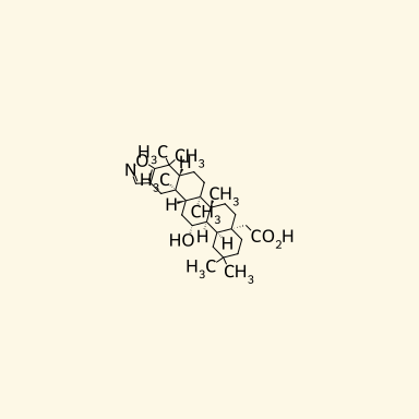 CC1(C)CC[C@]2(CC(=O)O)CC[C@]3(C)[C@H]([C@H](O)C[C@@H]4[C@@]5(C)Cc6cnoc6C(C)(C)[C@@H]5CC[C@]43C)[C@@H]2C1